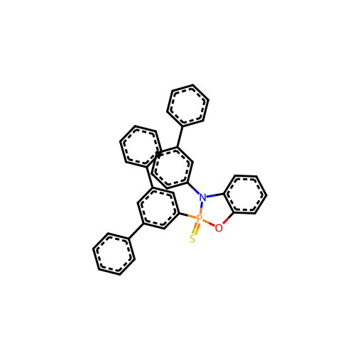 S=P1(c2cc(-c3ccccc3)cc(-c3ccccc3)c2)Oc2ccccc2N1c1cccc(-c2ccccc2)c1